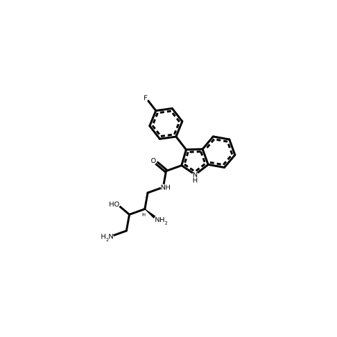 NCC(O)[C@H](N)CNC(=O)c1[nH]c2ccccc2c1-c1ccc(F)cc1